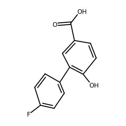 O=C(O)c1ccc(O)c(-c2ccc(F)cc2)c1